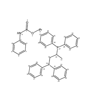 CC(C)OC(=O)Nc1ccccc1.CC(CP(c1ccccc1)c1ccccc1)P(c1ccccc1)c1ccccc1